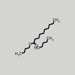 CCCCCCCCCC(=O)OCCCC.CCCCO